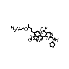 CC(CCc1ccc2c(-c3nc(NC4CCCC4)ncc3C(F)(F)F)c[nH]c2c1P(C)(C)=O)OCCN